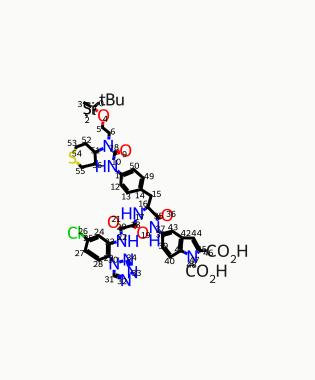 CC(C)(C)[Si](C)(C)OCCN(C(=O)Nc1ccc(CC(NC(=O)C(=O)Nc2cc(Cl)ccc2-n2cnnn2)C(=O)Nc2ccc3c(c2)cc(C(=O)O)n3C(=O)O)cc1)C1CCSCC1